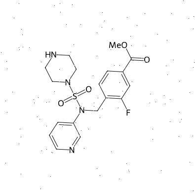 COC(=O)c1ccc(CN(c2cccnc2)S(=O)(=O)N2CCNCC2)c(F)c1